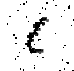 CC(C)(CNC(=O)CNC(=O)CNC(=O)CNC(=O)CN)COCC(C)(C)CC(=O)O